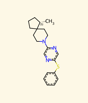 C[C@H]1CCCC12CCN(c1cnc(Sc3ccccc3)cn1)CC2